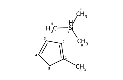 CC1=CC=CC1.C[SiH](C)C